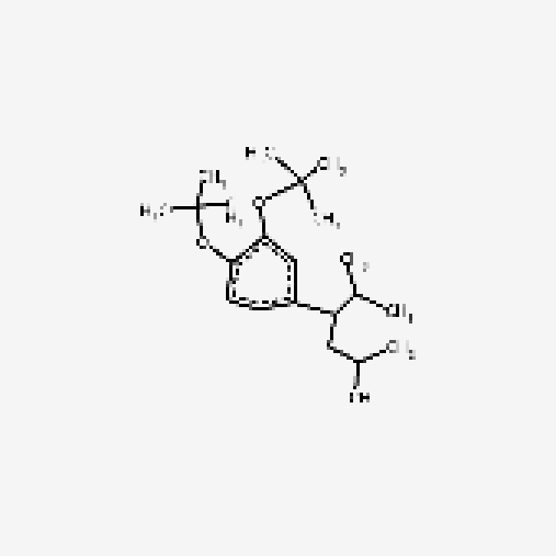 CC(C)CC(c1ccc(OC(C)(C)C)c(OC(C)(C)C)c1)C(C)C